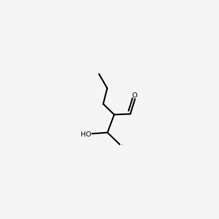 [CH2]C(O)C(C=O)CCC